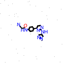 Cn1cc(Nc2nccc(-c3ccc(NC(=O)CC#N)cc3)n2)cn1